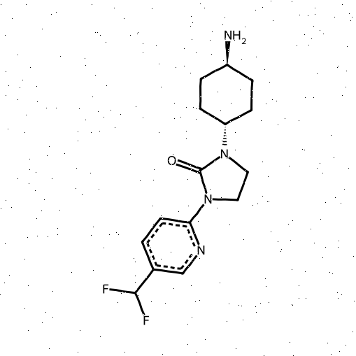 N[C@H]1CC[C@H](N2CCN(c3ccc(C(F)F)cn3)C2=O)CC1